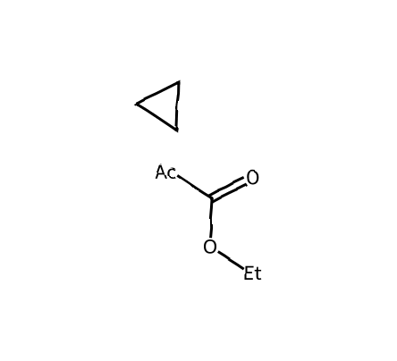 C1CC1.CCOC(=O)C(C)=O